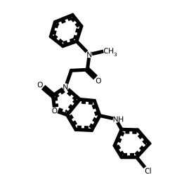 CN(C(=O)Cn1c(=O)oc2ccc(Nc3ccc(Cl)cc3)cc21)c1ccccc1